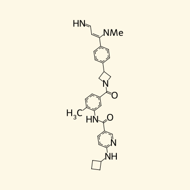 CN/C(=C\C=N)c1ccc(C2CN(C(=O)c3ccc(C)c(NC(=O)c4ccc(NC5CCC5)nc4)c3)C2)cc1